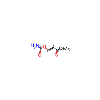 COC(=O)C=COC(N)=O